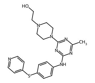 Cc1nc(Nc2ccc(Sc3ccncc3)cc2)nc(N2CCN(CCO)CC2)n1